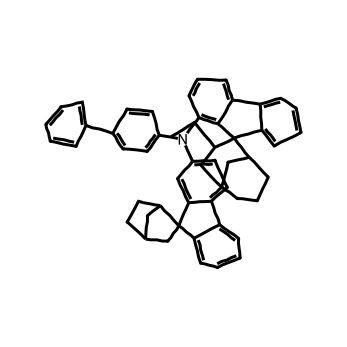 CCC1CC2CCCC(C2)C12c1ccccc1-c1cccc(N(c3ccc(-c4ccccc4)cc3)c3ccc4c(c3)C3(CC5CCC3C5)c3ccccc3-4)c12